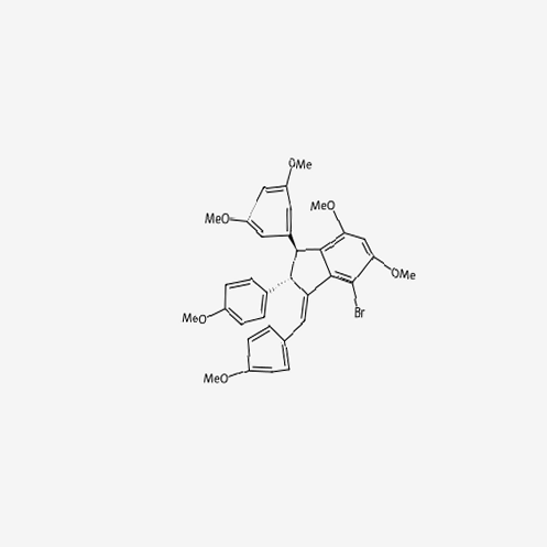 COc1ccc(/C=C2/c3c(Br)c(OC)cc(OC)c3[C@H](c3cc(OC)cc(OC)c3)[C@H]2c2ccc(OC)cc2)cc1